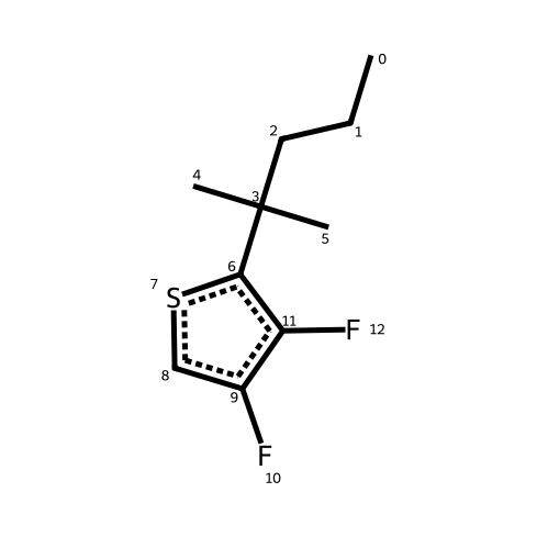 CCCC(C)(C)c1scc(F)c1F